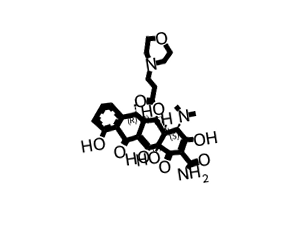 C[C@H]1c2cccc(O)c2C(=O)C2=C(O)[C@]3(O)C(=O)C(C(N)=O)=C(O)[C@@H](N(C)C)[C@@H]3[C@@H](OC(=O)CCN3CCOCC3)[C@@H]21